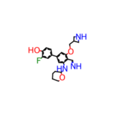 N=Cc1c(NC2CCCCO2)cc(-c2ccc(O)c(F)c2)cc1OCC1CNC1